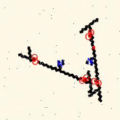 CCCCCC(CCCCC)CCOC(=O)CCCCCCCCCC(CCCCCCCCCC(=O)OCCC(CCCCC)CCC(CC)C(C)CCCC(CCCCC)CC(=O)OCCCCCCCCCCC(CCCCCCCCCCOC(=O)CC(CCCCC)CCCCC)CCN(C)C(C)C)CN(CC)CC